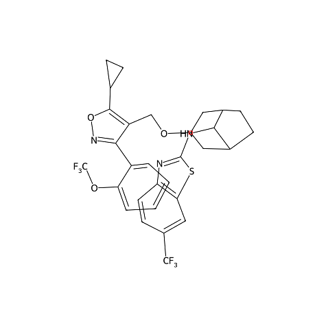 FC(F)(F)Oc1ccccc1-c1noc(C2CC2)c1COC1CC2CCC(C1)C2Nc1nc2ccc(C(F)(F)F)cc2s1